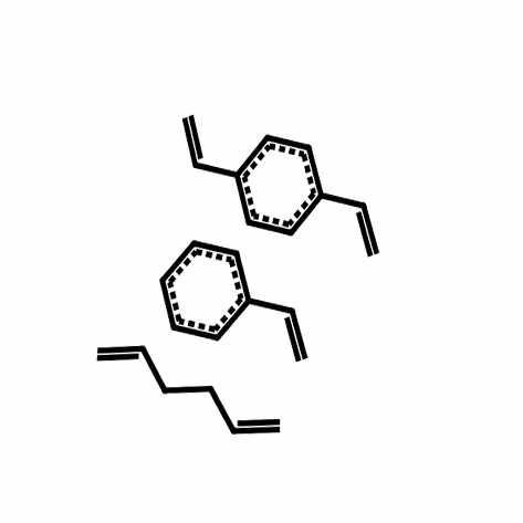 C=CCCC=C.C=Cc1ccc(C=C)cc1.C=Cc1ccccc1